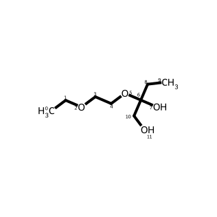 CCOCCOC(O)(CC)CO